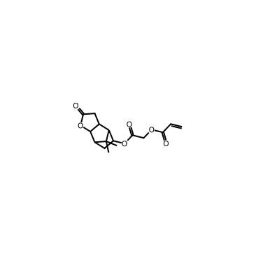 C=CC(=O)OCC(=O)OC1CC2C3OC(=O)CC3C1C2(C)C